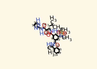 CC(C)C[C@H](NC(=O)c1cc(C(=O)N[C@H](C)c2ccccc2)cc(N(C)S(C)(=O)=O)c1)[C@@H](O)C(=O)Nc1ncc[nH]1